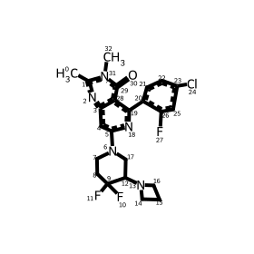 Cc1nc2cc(N3CCC(F)(F)C(N4CCC4)C3)nc(-c3ccc(Cl)cc3F)c2c(=O)n1C